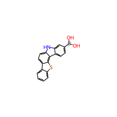 OB(O)c1ccc2c(c1)[nH]c1ccc3c4ccccc4sc3c12